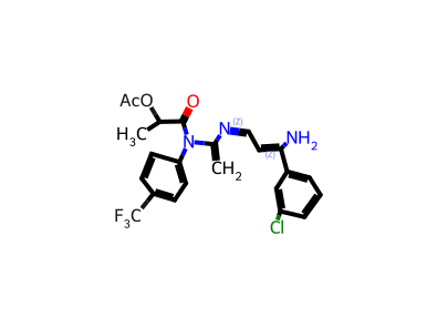 C=C(/N=C\C=C(/N)c1cccc(Cl)c1)N(C(=O)C(C)OC(C)=O)c1ccc(C(F)(F)F)cc1